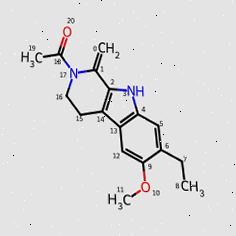 C=C1c2[nH]c3cc(CC)c(OC)cc3c2CCN1C(C)=O